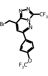 FC(F)(F)Oc1ccc(-c2cc(CBr)c3nnc(C(F)(F)F)n3n2)cc1